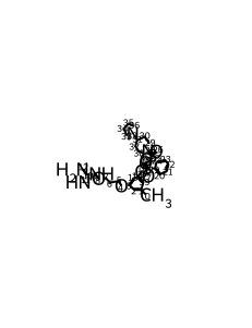 Cc1cc(OCCCONC(=N)N)cc(OS(=O)(=O)c2ccccc2S(=O)(=O)N2CCC(N3CCCC3)CC2)c1